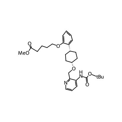 COC(=O)CCCCOc1ccccc1[C@H]1CC[C@@H](OCc2ncccc2NC(=O)OC(C)(C)C)CC1